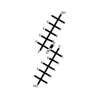 CC(C)(O)C(F)(F)C(F)(F)C(F)(F)C(F)(F)S(=O)(=O)C(F)(F)C(F)(F)C(F)(F)C(F)(F)C(C)(C)O